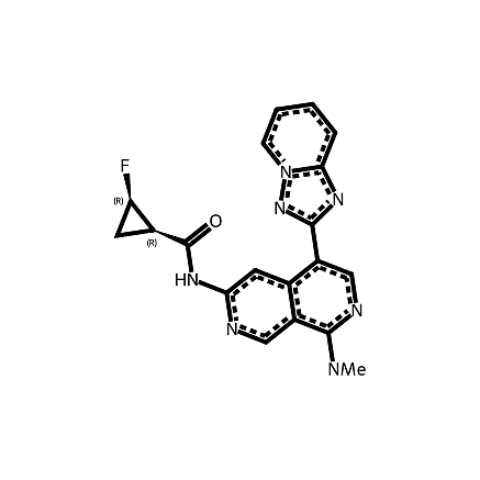 CNc1ncc(-c2nc3ccccn3n2)c2cc(NC(=O)[C@H]3C[C@H]3F)ncc12